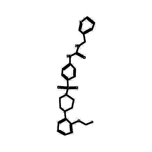 CCOc1ccccc1N1CCN(S(=O)(=O)c2ccc(NC(=O)NCc3cccnc3)cc2)CC1